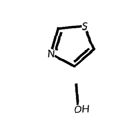 CO.c1cscn1